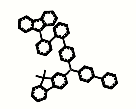 CC1(C)c2ccccc2-c2ccc(N(c3ccc(-c4ccccc4)cc3)c3ccc(-c4ccccc4-c4ccccc4-n4c5ccccc5c5ccccc54)cc3)cc21